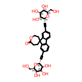 O=C1CCC2(CCO1)c1cc(C#C[C@H]3O[C@H](CO)[C@@H](O)[C@H](O)[C@H]3O)ccc1-c1ccc(C#C[C@H]3O[C@H](CO)[C@@H](O)[C@H](O)[C@H]3O)cc12